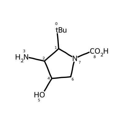 CC(C)(C)C1C(N)C(O)CN1C(=O)O